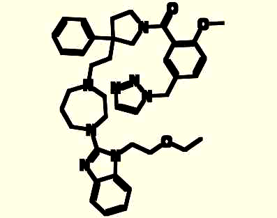 CCOCCn1c(N2CCCN(CCC3(c4ccccc4)CCN(C(=O)c4cc(Cn5ccnn5)ccc4OC)C3)CC2)nc2ccccc21